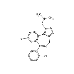 CN(C)Cc1nnc2n1-c1ccc(Br)cc1C(c1ccccc1Cl)=NC2